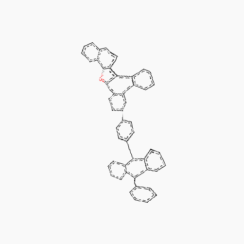 c1ccc(-c2c3ccccc3c(-c3ccc(-c4ccc5c(c4)c4ccccc4c4c6ccc7ccccc7c6oc54)cc3)c3ccccc23)cc1